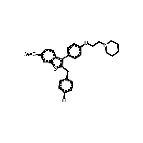 COc1ccc2c(-c3ccc(OCCN4CCCCC4)cc3)c(Cc3ccc(Cl)cc3)sc2c1